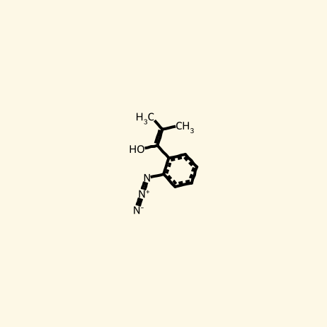 CC(C)=C(O)c1ccccc1N=[N+]=[N-]